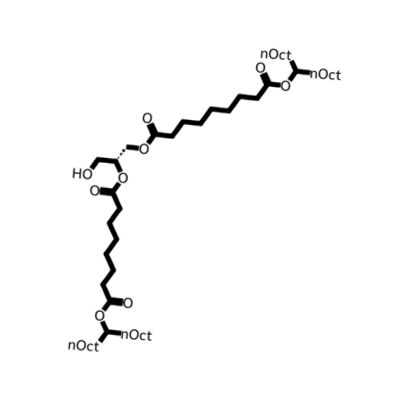 CCCCCCCCC(CCCCCCCC)OC(=O)CCCCCCCC(=O)OC[C@@H](CO)OC(=O)CCCCCCC(=O)OC(CCCCCCCC)CCCCCCCC